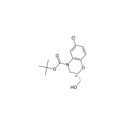 CC(C)(C)OC(=O)N1C[C@@H](CO)Oc2ccc(Cl)cc21